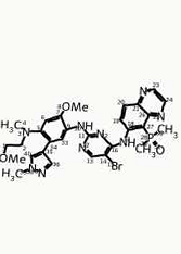 COCCN(C)c1cc(OC)c(Nc2ncc(Br)c(Nc3ccc4nccnc4c3P(C)(C)=O)n2)cc1-c1cnn(C)c1